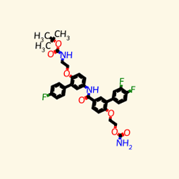 CC(C)(C)OC(=O)NCCOc1ccc(NC(=O)c2ccc(OCCOC(N)=O)c(-c3ccc(F)c(F)c3)c2)cc1-c1ccc(F)cc1